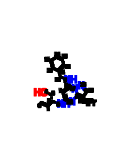 C=C[C@H](CO)Nc1cc(NCc2ccccc2)n2ncc(C(C)C)c2n1